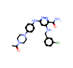 CC(=O)N1CCN(c2ccc(Nc3cc(NCc4cccc(Cl)c4)c(C(N)=O)nn3)cc2)CC1